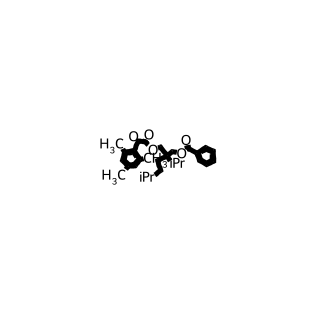 Cc1cc(C)c(C(=O)C(=O)OCC(CCC(C)C)(COC(=O)c2ccccc2)C(C)C)c(C)c1